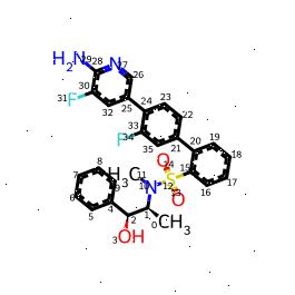 C[C@@H]([C@@H](O)c1ccccc1)N(C)S(=O)(=O)c1ccccc1-c1ccc(-c2cnc(N)c(F)c2)c(F)c1